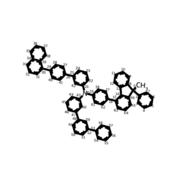 CC1(c2ccccc2)c2ccccc2-c2c(-c3ccc(N(c4cccc(-c5ccc(-c6cccc7ccccc67)cc5)c4)c4cccc(-c5cccc(-c6ccccc6)c5)c4)cc3)cccc21